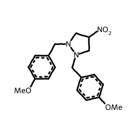 COc1ccc(CN2CC([N+](=O)[O-])CN2Cc2ccc(OC)cc2)cc1